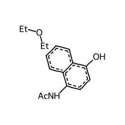 CC(=O)Nc1ccc(O)c2ccccc12.CCOCC